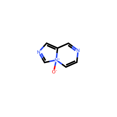 [O-][N+]12C=CN=CC1=CN=C2